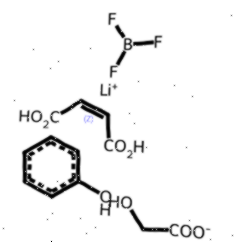 FB(F)F.O=C(O)/C=C\C(=O)O.O=C([O-])CO.Oc1ccccc1.[Li+]